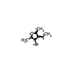 C=c1oc(C)c(Br)/c1=C/C